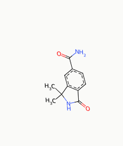 CC1(C)NC(=O)c2ccc(C(N)=O)cc21